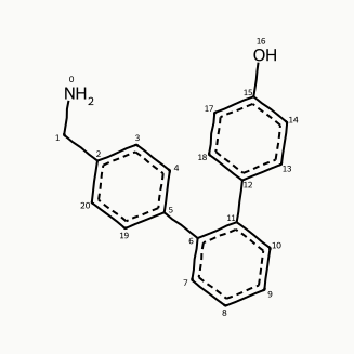 NCc1ccc(-c2ccccc2-c2ccc(O)cc2)cc1